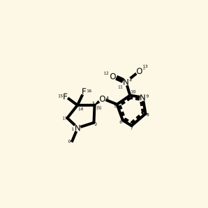 CN1C[C@H](Oc2cccnc2[N+](=O)[O-])C(F)(F)C1